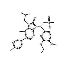 CCOc1nc([C@@H](CS(C)(=O)=O)n2c(=O)n(CC(F)F)c3c(C)c(-c4ccc(F)cc4)cnc32)ccc1OC